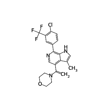 C=C(c1cnc(-c2ccc(Cl)c(C(F)(F)F)c2)c2[nH]cc(C)c12)N1CCOCC1